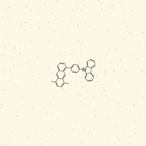 Cc1ccc(C)c2cc3c(-c4ccc(-n5c6ccccc6c6ccccc65)cc4)cccc3cc12